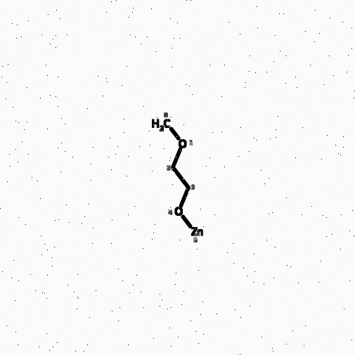 COCC[O][Zn]